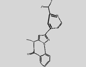 Cn1c(=O)c2ccccc2n2nc(-c3ccnc(C(F)F)c3)cc12